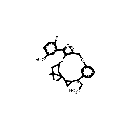 COc1ccc(F)c(-c2onc3c2OC2CC(C)(C)C(C)(C2)C2CC2[C@H](CC(=O)O)c2cccc(c2)OC3)c1